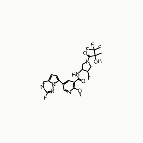 COc1ncc(-c2ccc3cnc(F)nn23)cc1C(=O)NC1CN(C(=O)C(C)(O)C(F)(F)F)CC1F